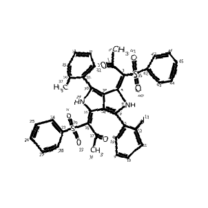 CC(=O)/C(=c1/[nH]c(-c2ccccc2I)c2/c(=C(\C(C)=O)S(=O)(=O)c3ccccc3)[nH]c(-c3ccccc3C)c12)S(=O)(=O)c1ccccc1